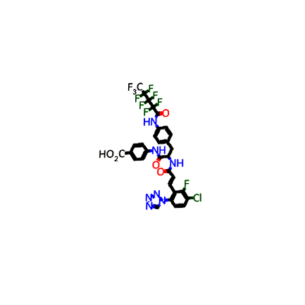 O=C(/C=C/c1c(-n2cnnn2)ccc(Cl)c1F)NC(Cc1ccc(NC(=O)C(F)(F)C(F)(F)C(F)(F)C(F)(F)F)cc1)C(=O)Nc1ccc(C(=O)O)cc1